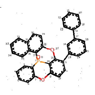 O=P12c3ccccc3Oc3ccc(-c4cccc(-c5ccccc5)c4)c(c31)Oc1ccc3ccccc3c12